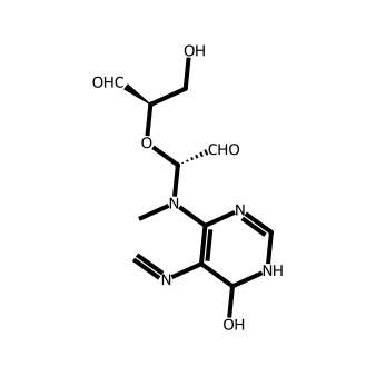 C=NC1=C(N(C)[C@@H](C=O)O[C@@H](C=O)CO)N=CNC1O